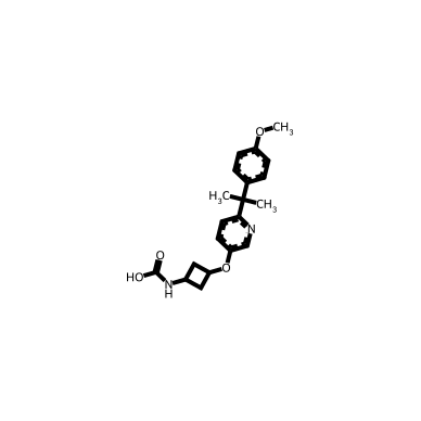 COc1ccc(C(C)(C)c2ccc(OC3CC(NC(=O)O)C3)cn2)cc1